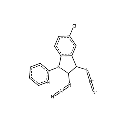 [N-]=[N+]=NC1c2cc(Cl)ccc2N(c2ccccn2)C1N=[N+]=[N-]